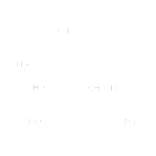 BC(C)CC(C(=O)O)C(C)(C)CC(=C)C(=O)O